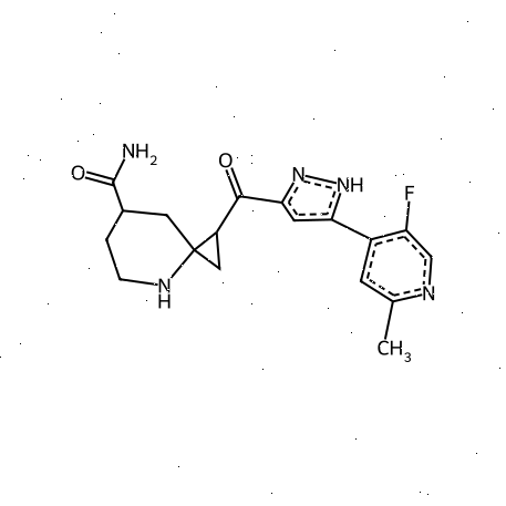 Cc1cc(-c2cc(C(=O)C3CC34CC(C(N)=O)CCN4)n[nH]2)c(F)cn1